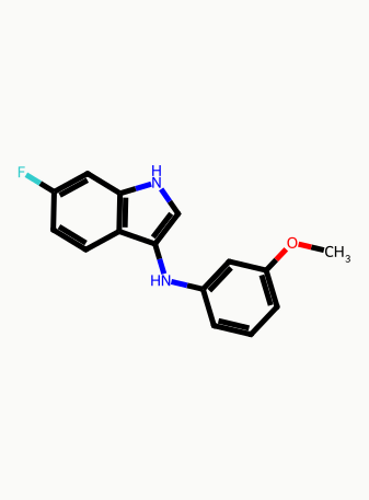 COc1cccc(Nc2c[nH]c3cc(F)ccc23)c1